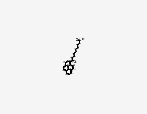 O=C(O)CCCCCCCCC(=O)c1ccc2ccc3cccc4ccc1c2c34